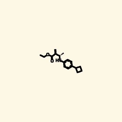 C=C(C(=O)OCC)[C@H](C)Nc1ccc(C2CCC2)cc1